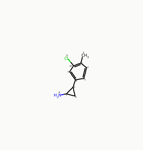 Cc1ccc(C2CC2N)cc1Cl